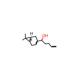 C=CCCC(O)C1=CC[C@@H]2[C@H](C1)C2(C)C